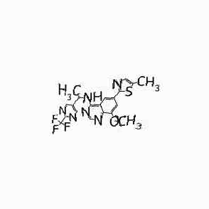 COc1cc(-c2ncc(C)s2)cc2c(NC(C)c3cnc(C(F)(F)F)nc3)ncnc12